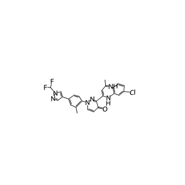 CC(=N)/C=C(\Nc1cccc(Cl)c1)c1nn(-c2ccc(-c3cnn(C(F)F)c3)cc2C)ccc1=O